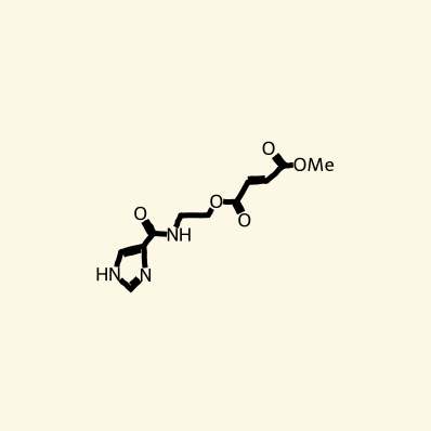 COC(=O)/C=C/C(=O)OCCNC(=O)c1c[nH]cn1